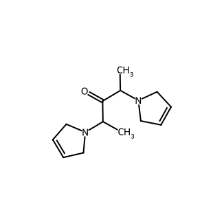 CC(C(=O)C(C)N1CC=CC1)N1CC=CC1